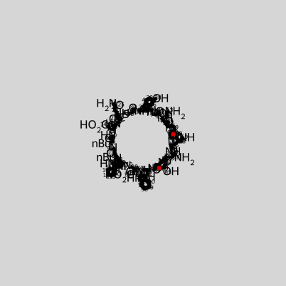 CCCC[C@H]1C(=O)N(C)[C@@H](CCCC)C(=O)N[C@@H](CCC(=O)O)C(=O)NC(C(=O)NCC(N)=O)CSCC(=O)N[C@@H](Cc2ccc(O)cc2)C(=O)N(C)[C@@H](C)C(=O)N[C@@H](CC(N)=O)C(=O)N2CCC[C@H]2C(=O)N[C@@H](Cc2c[nH]cn2)C(=O)N[C@@H](CC(N)=O)C(=O)N2C[C@H](O)C[C@H]2C(=O)N[C@@H](Cc2c[nH]c3ccccc23)C(=O)N[C@@H](CC(=O)O)C(=O)N[C@@H](Cc2c[nH]c3ccccc23)C(=O)N1C